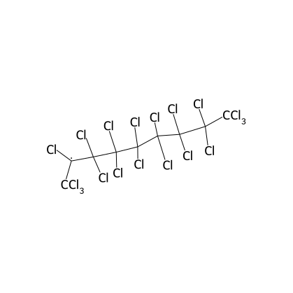 Cl[C](C(Cl)(Cl)Cl)C(Cl)(Cl)C(Cl)(Cl)C(Cl)(Cl)C(Cl)(Cl)C(Cl)(Cl)C(Cl)(Cl)C(Cl)(Cl)Cl